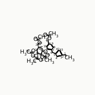 CCc1ccc(Cc2ccc(COC(C)=O)cc2O[C@@H]2S[C@H](COC(C)=O)[C@@H](OC(C)=O)[C@H](OC(C)=O)[C@H]2OC(C)=O)cc1